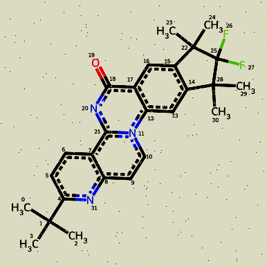 CC(C)(C)c1ccc2c(ccn3c4cc5c(cc4c(=O)nc23)C(C)(C)C(F)(F)C5(C)C)n1